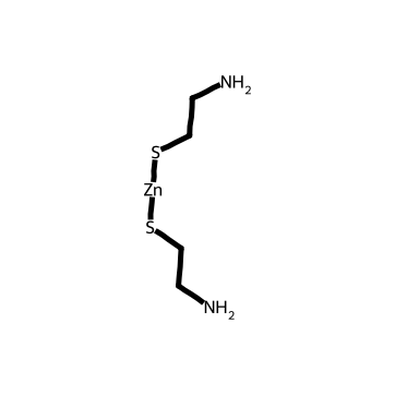 NCC[S][Zn][S]CCN